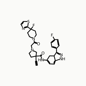 C#CC1(C(=O)NC2=CC=C3NN=C(c4ccc(F)cc4)C3C2)CCN(CC(=O)N2CCC(F)(c3nccs3)CC2)C1